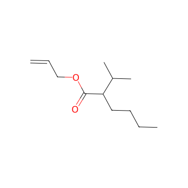 C=CCOC(=O)C(CCCC)C(C)C